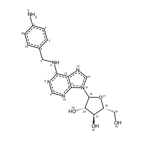 Nc1ccc(CNc2ncnc3c2ncn3C2O[C@H](CO)[C@@H](O)[C@@H]2O)cc1